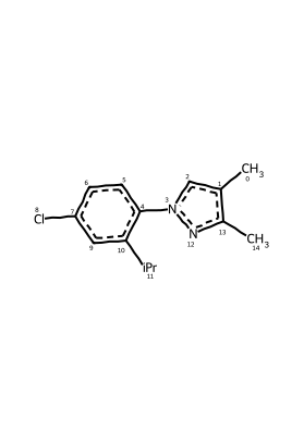 Cc1cn(-c2ccc(Cl)cc2C(C)C)nc1C